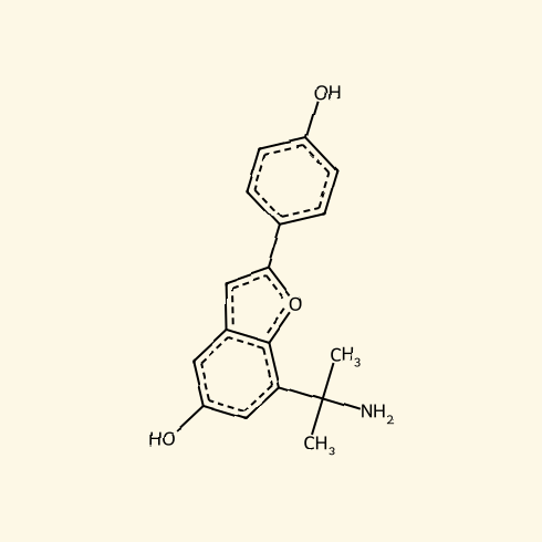 CC(C)(N)c1cc(O)cc2cc(-c3ccc(O)cc3)oc12